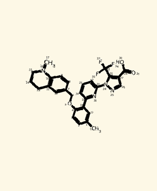 Cc1ccc(OCc2ccc3c(c2)CCCN3C)c(-c2cccc(-n3ncc(C(=O)O)c3C(F)(F)F)n2)c1